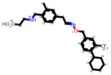 Cc1cc(CC=NOCc2ccc(C3CCCCC3)c(C(F)(F)F)c2)ccc1CNCCC(=O)O